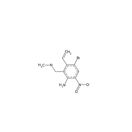 C=Cc1c(Br)cc([N+](=O)[O-])c(N)c1C[N]C